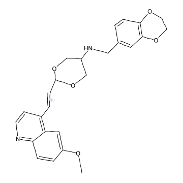 COc1ccc2nccc(/C=C/C3OCC(NCc4ccc5c(c4)OCCO5)CO3)c2c1